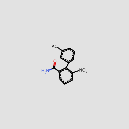 CC(=O)c1cccc(-c2c(C(N)=O)cccc2[N+](=O)[O-])c1